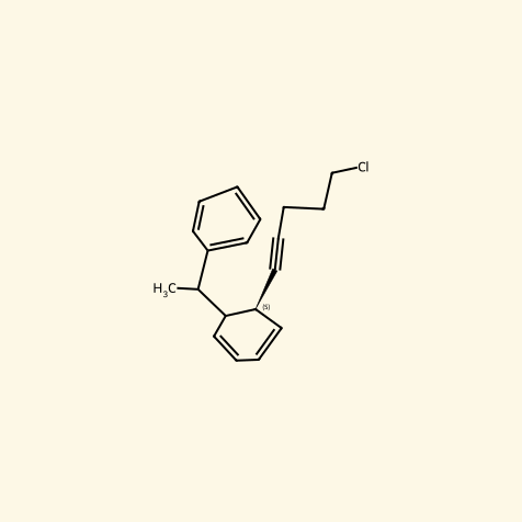 CC(c1ccccc1)C1C=CC=C[C@@H]1C#CCCCCl